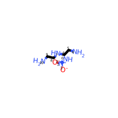 N=[N+]([O-])[O-].NCCNCCN